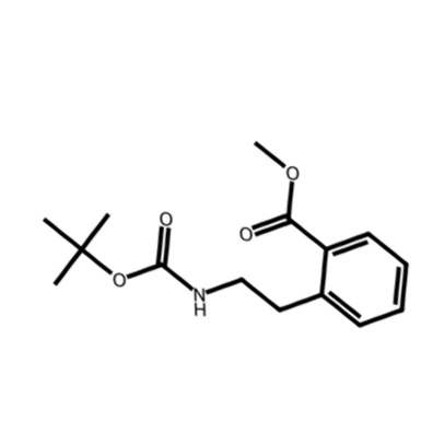 COC(=O)c1ccccc1CCNC(=O)OC(C)(C)C